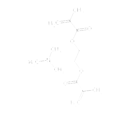 C=C(C)C(=O)OCCOC(=O)C(=C)C.CN(C)C